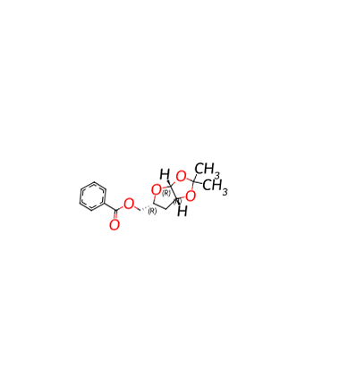 CC1(C)O[C@H]2O[C@@H](COC(=O)c3ccccc3)C[C@H]2O1